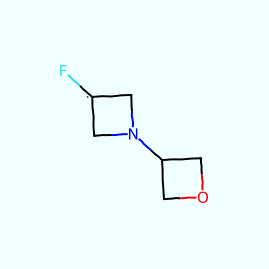 F[C]1CN(C2COC2)C1